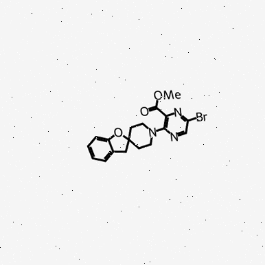 COC(=O)c1nc(Br)cnc1N1CCC2(CC1)Cc1ccccc1O2